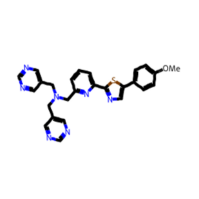 COc1ccc(-c2cnc(-c3cccc(CN(Cc4cncnc4)Cc4cncnc4)n3)s2)cc1